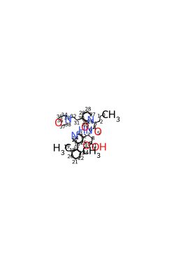 CCC[C@@H](C(=O)N[C@@H](CC(=O)O)c1cncc(-c2c(C)cccc2C)c1)n1cccc(CCN2CCOCC2)c1=O